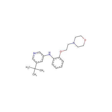 CC(C)(C)c1cncc(Nc2ccccc2OCCN2CCOCC2)c1